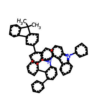 CC1(C)c2ccccc2-c2cc(-c3cccc(N(c4cccc(-c5ccccc5)c4-c4ccccc4-c4ccccc4)c4cccc5c4c4ccccc4n5-c4ccccc4)c3)ccc21